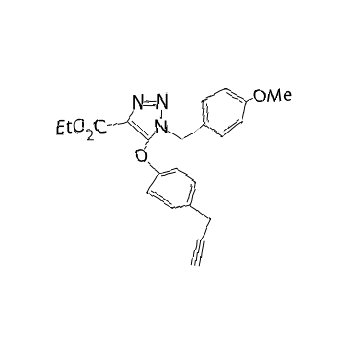 C#CCc1ccc(Oc2c(C(=O)OCC)nnn2Cc2ccc(OC)cc2)cc1